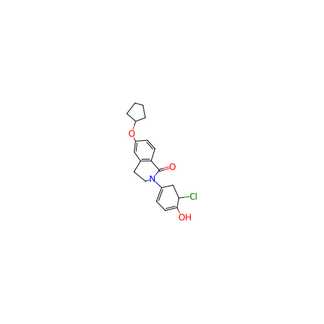 O=C1c2ccc(OC3CCCC3)cc2CCN1C1=CC=C(O)C(Cl)C1